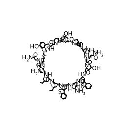 CCCC[C@H]1C(=O)N(C)[C@@H](CCCC)C(=O)N[C@@H](CN)C(=O)N[C@H](C(=O)NCC(N)=O)CSCC(=O)N[C@@H](Cc2ccc(O)cc2)C(=O)N2CCC[C@H]2C(=O)N[C@@H](CC(=O)O)C(=O)N2CCC[C@H]2C(=O)N[C@@H](CN)C(=O)N[C@@H](CCC(N)=O)C(=O)N2C[C@H](O)CC2C(=O)N[C@@H](Cc2c[nH]c3ccccc23)C(=O)N[C@@H](CCN)C(=O)N[C@@H](Cc2csc3ccccc23)C(=O)N1C